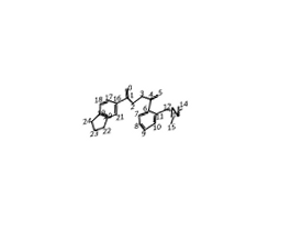 C=C(CCC(=C)c1ccccc1CN(C)C)c1ccc2c(c1)CCC2